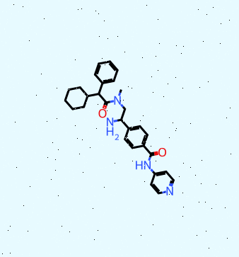 CN(CC(N)c1ccc(C(=O)Nc2ccncc2)cc1)C(=O)C(c1ccccc1)C1CCCCC1